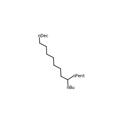 [CH2]CCCC(CCCCC)CCCCCCCCCCCCCCCCC